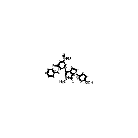 Cn1cc(-c2cc([N+](=O)[O-])cc(F)c2Oc2ccccc2)c2ccn(-c3ccc(O)cc3)c2c1=O